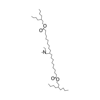 CCCCC(CCCC)CCOC(=O)CCCCCCCCCC(CCCCCCCCCC(=O)OCCC(CCCC)CCCC)CN(C)CC